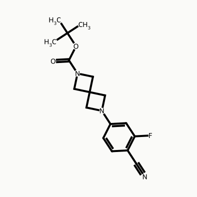 CC(C)(C)OC(=O)N1CC2(C1)CN(c1ccc(C#N)c(F)c1)C2